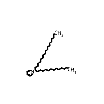 CCCCCCCCCCCCCCCCCCC(CCCCCCCCCCCCC)[n+]1ccccc1